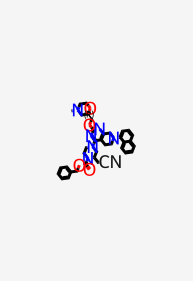 CN1CCO[C@@H](COc2nc3c(c(N4CCN(C(=O)OCc5ccccc5)C(CC#N)C4)n2)CCN(c2cccc4ccccc24)C3)C1